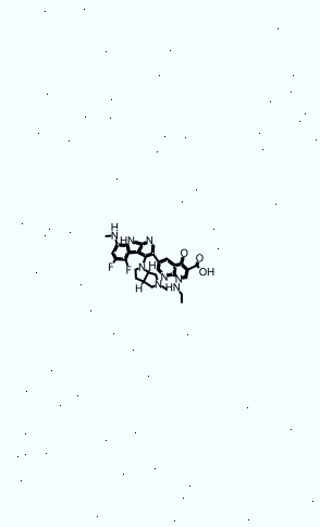 CCNn1cc(C(=O)O)c(=O)c2cc(-c3cnc4[nH]c5c(NC)cc(F)c(F)c5c4c3N3CC[C@H]4CN(C)C[C@H]43)cnc21